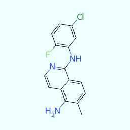 Cc1ccc2c(Nc3cc(Cl)ccc3F)nccc2c1N